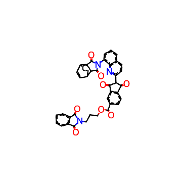 O=C(OCCCN1C(=O)c2ccccc2C1=O)c1ccc2c(c1)C(=O)C(c1ccc3cccc(N4C(=O)C5C6C=CC(CC6)C5C4=O)c3n1)C2=O